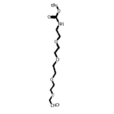 CC(C)(C)OC(=O)NCCOCCOCCOCCOCC=O